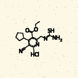 CCOC(=O)c1c(CN=C(N)S)nc(C)c(C#N)c1C1CCCC1.Cl